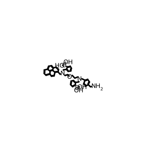 NCc1ccc(CN(CCCOCCN(Cc2ccccc2B(O)O)Cc2ccc3ccc4cccc5ccc2c3c45)Cc2ccccc2B(O)O)cc1